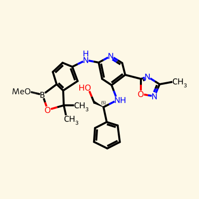 COB1OC(C)(C)c2cc(Nc3cc(N[C@H](CO)c4ccccc4)c(-c4nc(C)no4)cn3)ccc21